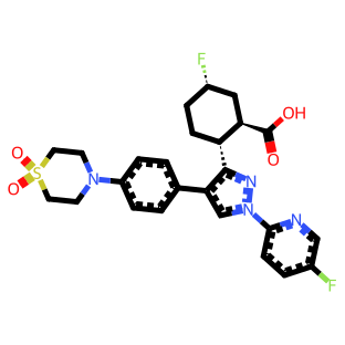 O=C(O)[C@@H]1C[C@@H](F)CC[C@H]1c1nn(-c2ccc(F)cn2)cc1-c1ccc(N2CCS(=O)(=O)CC2)cc1